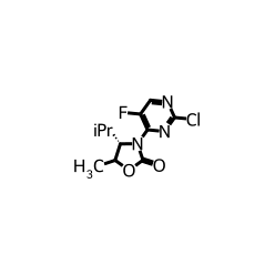 CC(C)[C@H]1C(C)OC(=O)N1c1nc(Cl)ncc1F